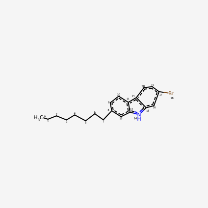 CCCCCCCCc1ccc2c(c1)[nH]c1cc(Br)ccc12